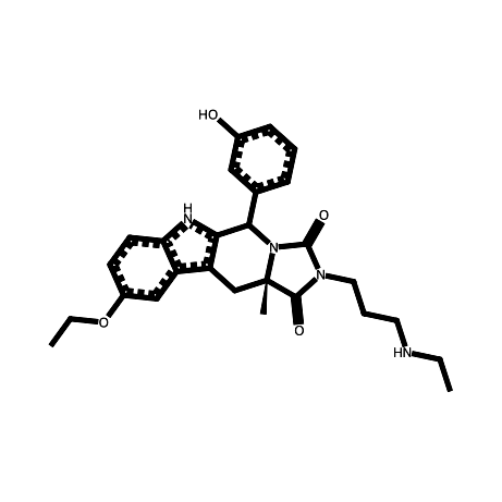 CCNCCCN1C(=O)N2C(c3cccc(O)c3)c3[nH]c4ccc(OCC)cc4c3C[C@@]2(C)C1=O